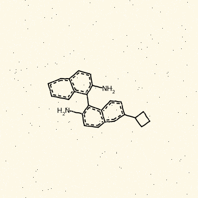 Nc1ccc2ccccc2c1-c1c(N)ccc2cc(C3CCC3)ccc12